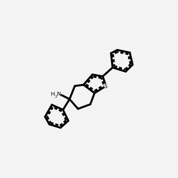 NC1(c2ccccc2)CCc2sc(-c3ccccc3)cc2C1